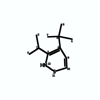 CC(C)C1=C(C(C)(C)C)C=CSN1